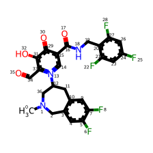 CN1Cc2cc(F)c(F)cc2CC(n2cc(C(=O)NCc3c(F)cc(F)cc3F)c(=O)c(O)c2C=O)C1